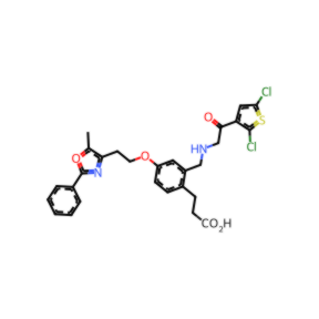 Cc1oc(-c2ccccc2)nc1CCOc1ccc(CCC(=O)O)c(CNCC(=O)c2cc(Cl)sc2Cl)c1